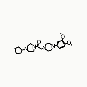 COc1ccc(N2CCN(CC(=O)N3CCN(C4CCCC4)CC3)CC2)cc1OC